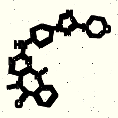 CN1C(=O)c2ccccc2N(C)c2nc(Nc3ccc(-n4cnc(N5CCOCC5)n4)cc3)ncc21